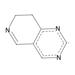 [c]1ncc2c(n1)CCN=C2